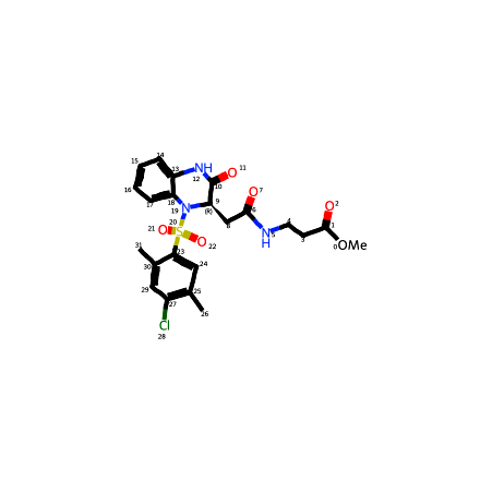 COC(=O)CCNC(=O)C[C@@H]1C(=O)Nc2ccccc2N1S(=O)(=O)c1cc(C)c(Cl)cc1C